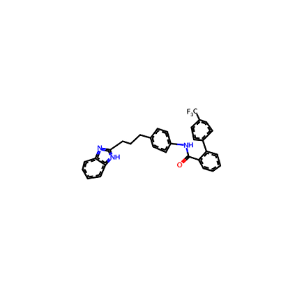 O=C(Nc1ccc(CCCc2nc3ccccc3[nH]2)cc1)c1ccccc1-c1ccc(C(F)(F)F)cc1